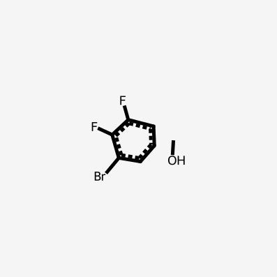 CO.Fc1cccc(Br)c1F